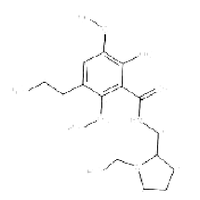 CCCc1cc(OC)c(O)c(C(=O)NCC2CCCN2CC)c1OC